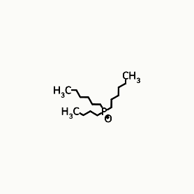 CCCCCCP(=O)(CCCC)CCCCCC